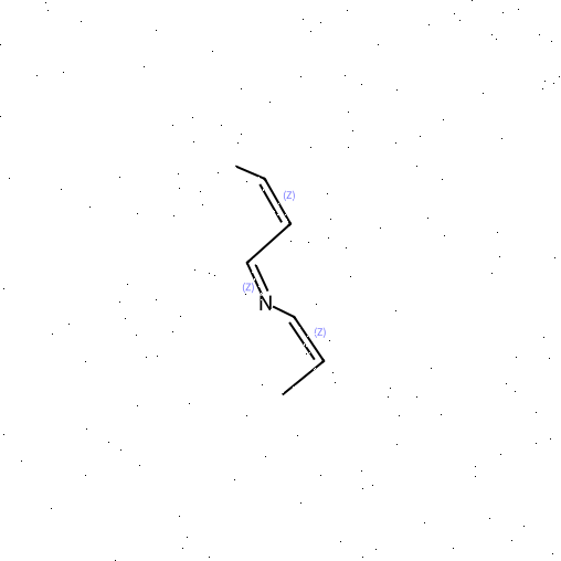 C\C=C/C=N\C=C/C